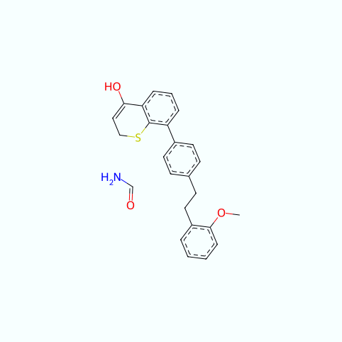 COc1ccccc1CCc1ccc(-c2cccc3c2SCC=C3O)cc1.NC=O